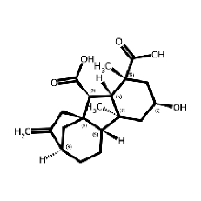 C=C1C[C@]23C[C@H]1CC[C@H]2[C@]1(C)C[C@H](O)C[C@@](C)(C(=O)O)[C@H]1[C@@H]3C(=O)O